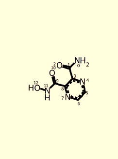 NC(=O)c1nccnc1C(=O)NO